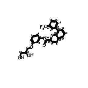 O=C(Nc1cccc(OCC(O)CO)c1)c1ccc2cccc(-c3cccc(C(F)(F)F)c3)c2n1